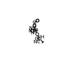 N#CC(=CC1CC1)C(=O)NC1CCC(n2nc(-c3ccc(Oc4ccccc4)cc3)c3c(N)ncnc32)CC1